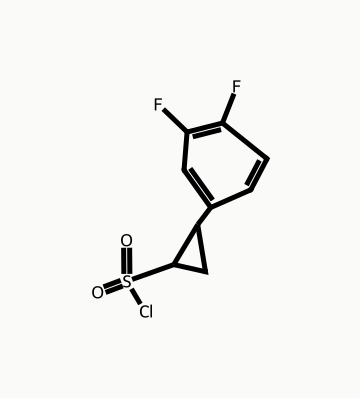 O=S(=O)(Cl)C1CC1c1ccc(F)c(F)c1